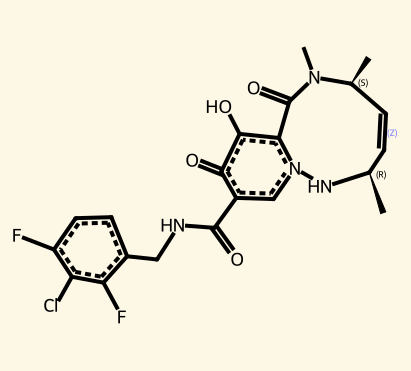 C[C@@H]1/C=C\[C@H](C)N(C)C(=O)c2c(O)c(=O)c(C(=O)NCc3ccc(F)c(Cl)c3F)cn2N1